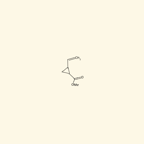 C=CC1CC1C(=O)OC